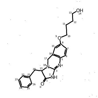 O=C1NC2=Nc3ccc(OCCCCO)cc3CN2C1Cc1ccccc1